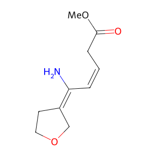 COC(=O)C/C=C\C(N)=C1\CCOC1